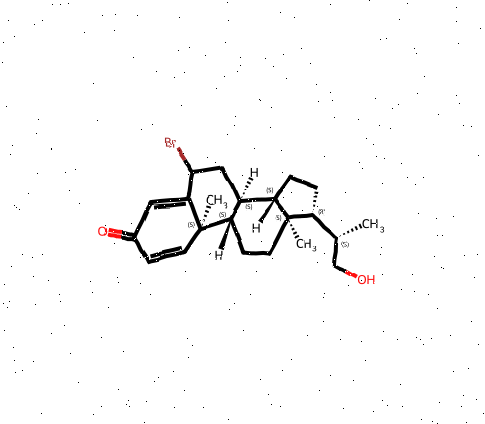 C[C@H](CO)[C@H]1CC[C@H]2[C@@H]3CC(Br)C4=CC(=O)C=C[C@]4(C)[C@H]3CC[C@]12C